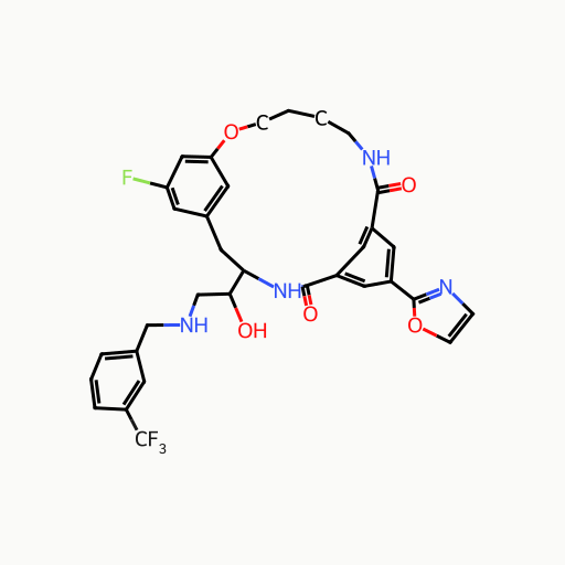 O=C1NCCCCOc2cc(F)cc(c2)CC(C(O)CNCc2cccc(C(F)(F)F)c2)NC(=O)c2cc1cc(-c1ncco1)c2